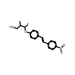 CC(CO)C(F)Oc1ccc(C=Cc2ccc([N+](=O)[O-])cc2)cc1